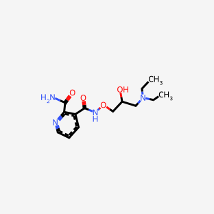 CCN(CC)CC(O)CONC(=O)c1cccnc1C(N)=O